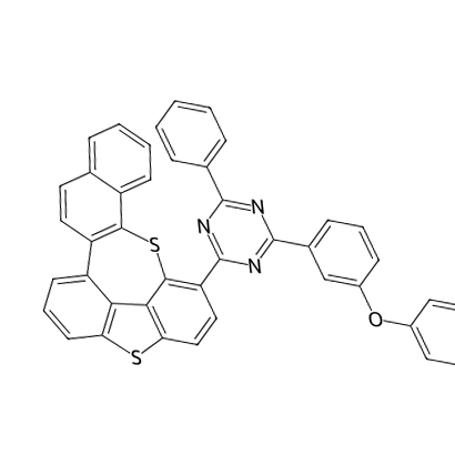 c1ccc(Oc2cccc(-c3nc(-c4ccccc4)nc(-c4ccc5sc6cccc7c8ccc9ccccc9c8sc4c5c67)n3)c2)cc1